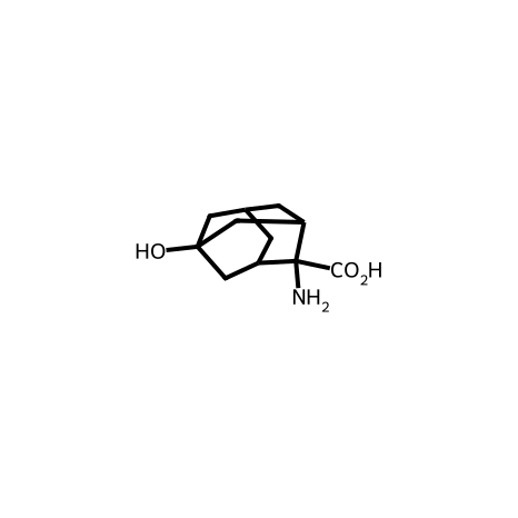 NC1(C(=O)O)C2CC3CC1CC(O)(C3)C2